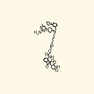 Cc1cc(N2CCC(N(CCCCCCOCCOCC(=O)Nc3cccc4c3C(=O)N(C3CCC(=O)NC3=O)C4=O)Cc3cccc(N4CCCC4)c3)CC2)nc(N)n1